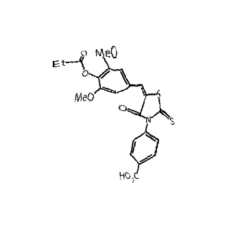 CCC(=O)Oc1c(OC)cc(C=C2SC(=S)N(c3ccc(C(=O)O)cc3)C2=O)cc1OC